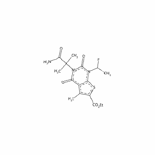 CCOC(=O)c1sc2c(c1C)c(=O)n(C(C)(C)C(N)=O)c(=O)n2C(C)F